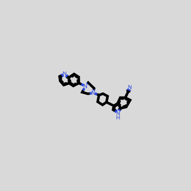 N#Cc1ccc2[nH]cc(C3CCC(N4CCN(c5ccc6ncccc6c5)CC4)CC3)c2c1